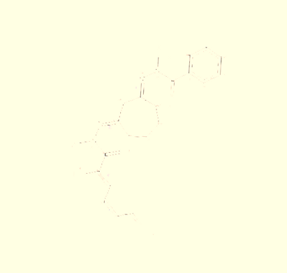 C=C/C=C\C=C(/C)C(=S)N(C)/N=C1\CCCC/C(=N\N(C)C(=S)c2ccccc2)C1